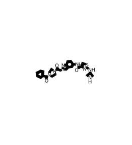 O=C(Nc1ccc2nn(CC(=O)N3CCN(C(=O)c4ccccc4)CC3)cc2c1)c1csc(NC2CNC2)n1